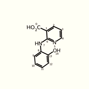 O=C(O)c1cccnc1Nc1ccccc1O